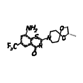 C[C@H]1COC2(CCN(c3nc(=O)c4cc(C(F)(F)F)cc(N)c4s3)CC2)O1